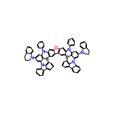 c1ccc(N2c3cc4oc5cc6c(cc5c4cc3B3c4c2cc(N2CCCc5ccccc52)cc4-n2c4ccccc4c4cccc3c42)B2c3c(cc(N4CCCc5ccccc54)cc3-n3c4ccccc4c4cccc2c43)N6c2ccccc2)cc1